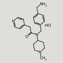 CN1CCC(N(Cc2ccc(CN)cc2)C(=O)Cc2ccncc2)CC1.Cl